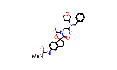 CNC(=O)Nc1ccc2c(c1)CCC21OC(=O)N(CC(=O)N(Cc2ccccc2)C2CCOC2)C1=O